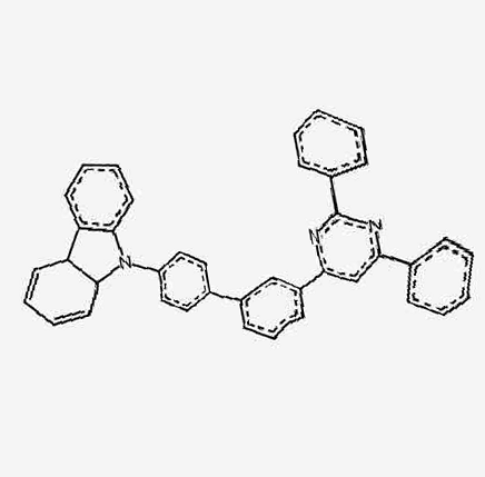 C1=CC2c3ccccc3N(c3ccc(-c4cccc(-c5cc(-c6ccccc6)nc(-c6ccccc6)n5)c4)cc3)C2C=C1